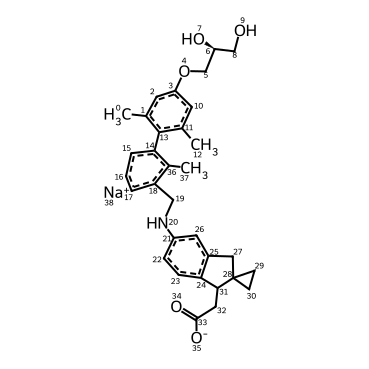 Cc1cc(OC[C@@H](O)CO)cc(C)c1-c1cccc(CNc2ccc3c(c2)CC2(CC2)C3CC(=O)[O-])c1C.[Na+]